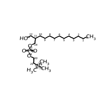 CCCCCCCCCCCC(CO)COP(=O)([O-])OCC[N+](C)(C)C